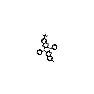 Cc1ccc2nc3c(nc2c1)N(c1ccccc1)c1nc2cc(C(F)(F)F)ccc2nc1N3c1ccccc1